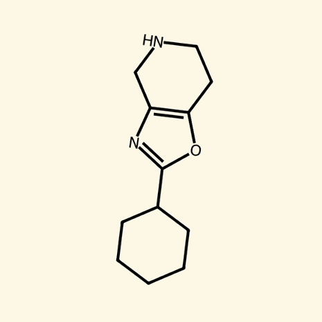 C1CCC(c2nc3c(o2)CCNC3)CC1